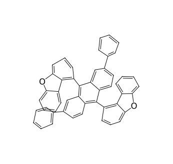 c1ccc(-c2ccc3c(-c4cccc5oc6ccccc6c45)c4ccc(-c5ccccc5)cc4c(-c4cccc5oc6ccccc6c45)c3c2)cc1